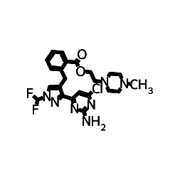 CN1CCN(CCOC(=O)c2ccccc2Cc2cn(C(F)F)nc2-c2cc(Cl)nc(N)n2)CC1